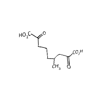 CC(CCCC(=O)C(=O)O)CC(=O)C(=O)O